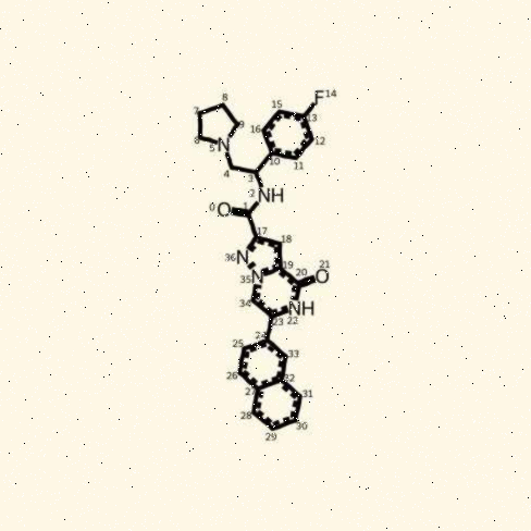 O=C(NC(CN1CCCC1)c1ccc(F)cc1)c1cc2c(=O)[nH]c(-c3ccc4ccccc4c3)cn2n1